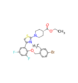 CCOC(=O)C1CCN(c2nc(-c3cc(F)cc(F)c3OCc3ccc(Br)cc3C)cs2)CC1